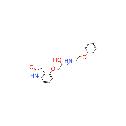 O=C1Cc2c(cccc2OCC(O)CNCCOc2ccccc2)N1